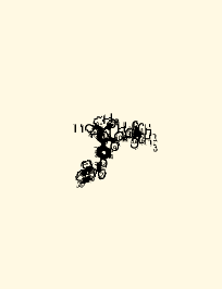 C[C@@H](O)[C@H]1C(=O)N2C(C(=O)OCOC(=O)C(C)(C)C)=C(c3ccc(OCC(=O)N4CCOC4=O)cc3)C[C@H]12